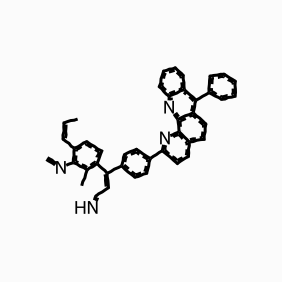 C=Nc1c(/C=C\C)ccc(/C(=C\C=N)c2ccc(-c3ccc4ccc5c(-c6ccccc6)c6ccccc6nc5c4n3)cc2)c1C